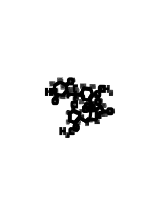 COc1ccc(Cl)cc1C=C1CN2C(=O)CC2(S(=O)(=O)c2cc(C(F)(F)F)ccc2OC)C1=O.O=C1CCNC(=O)CC1